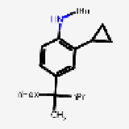 CCCCCCC(C)(CCC)c1ccc(NC(C)(C)C)c(C2CC2)c1